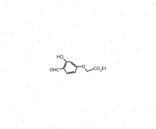 CCOC(=O)COc1ccc(C=O)c(O)c1